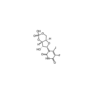 O=c1[nH]c(=O)n([C@@H]2O[C@@H]3COP(=O)(O)O[C@H]3[C@H]2O)c(I)c1F